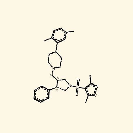 Cc1ccc(C)c(N2CCN([C][C@H]3CN(S(=O)(=O)c4c(C)noc4C)C[C@H]3c3ccccc3)CC2)c1